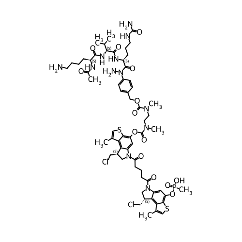 CC(=O)N[C@@H](CCCCN)C(=O)N[C@H](C(=O)N[C@@H](CCCNC(N)=O)C(=O)N(N)c1ccc(COC(=O)N(C)CCN(C)C(=O)Oc2cc3c(c4c(C)csc24)[C@H](CCl)CN3C(=O)CCCC(=O)N2C[C@@H](CCl)c3c2cc(OP(C)(=O)O)c2scc(C)c32)cc1)C(C)C